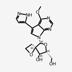 COc1ncnc2c1c(-c1ccn[nH]1)cn2[C@@H]1O[C@H](CO)[C@@H](O)[C@]12CCO2